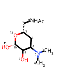 CC(=O)NC[C@@H]1CC(N(C)C)C(O)[C@H](O)O1